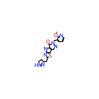 COc1ncccc1Cn1ncc2c3sc(CC4=NNCC4)nc3n(C)c2c1=O